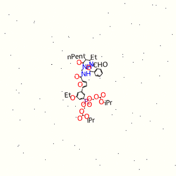 CCCCCC(C(=O)NCNC(=O)c1ccc(-c2cc(OCC)cc(P(=O)(OCOC(=O)OC(C)C)OCOC(=O)OC(C)C)c2)o1)C(CC)N(C=O)OCc1ccccc1